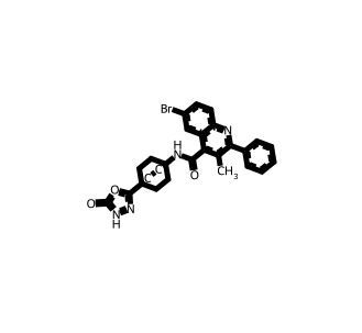 Cc1c(-c2ccccc2)nc2ccc(Br)cc2c1C(=O)NC12CCC(c3n[nH]c(=O)o3)(CC1)CC2